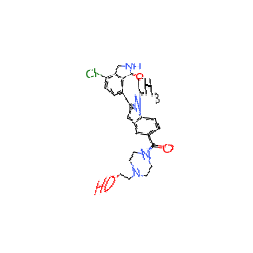 Cn1c(-c2ccc(Cl)c3c2C(=O)NC3)cc2cc(C(=O)N3CCN(CCO)CC3)ccc21